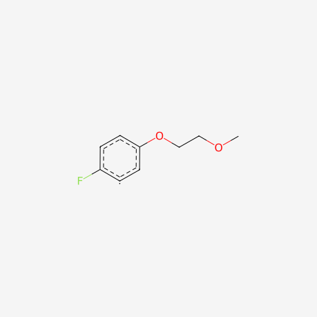 COCCOc1c[c]c(F)cc1